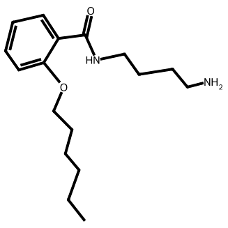 CCCCCCOc1ccccc1C(=O)NCCCCN